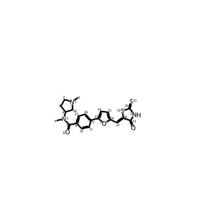 CN1CCC(N(C)C(=O)c2ccc(-c3ccc(/C=C4\SC(=S)NC4=O)o3)cc2)C1